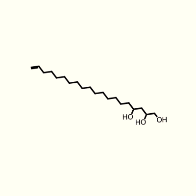 C=CCCCCCCCCCCCCCCC(O)CC(O)CO